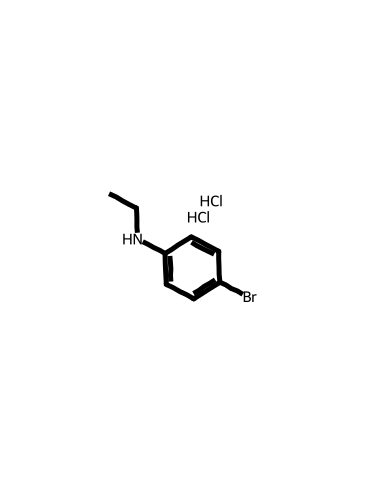 CCNc1ccc(Br)cc1.Cl.Cl